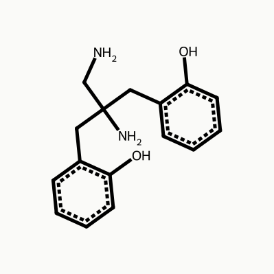 NCC(N)(Cc1ccccc1O)Cc1ccccc1O